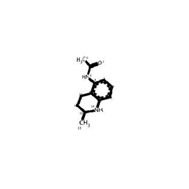 CC(=O)Nc1cccc2c1CCC(C)N2